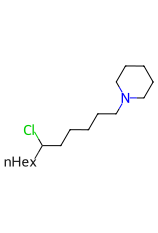 CCC[CH]CCC(Cl)CCCCCN1CCCCC1